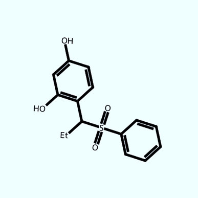 CCC(c1ccc(O)cc1O)S(=O)(=O)c1ccccc1